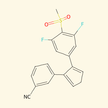 CS(=O)(=O)c1c(F)cc(C2=CCC=C2c2cccc(C#N)c2)cc1F